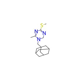 CSC1=NCN(CC23CC4CC(CC(C4)C2)C3)C(C)=N1